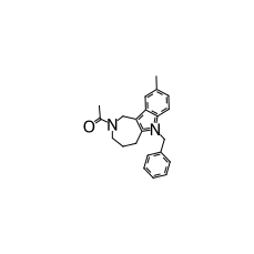 CC(=O)N1CCCc2c(c3cc(C)ccc3n2Cc2ccccc2)C1